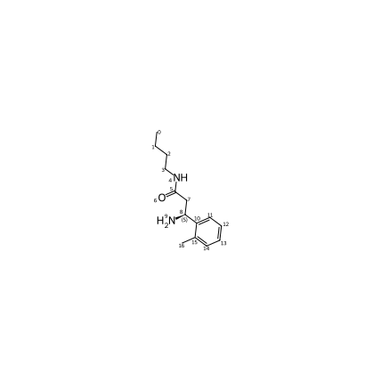 CCCCNC(=O)C[C@H](N)c1ccccc1C